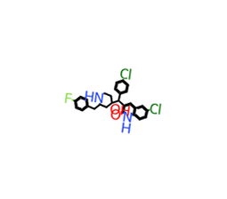 O=c1[nH]c2ccc(Cl)cc2cc1C(c1ccc(Cl)cc1)C1(O)CCNC(Cc2ccc(F)cc2)C1